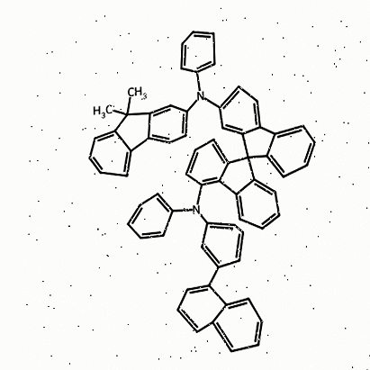 CC1(C)c2ccccc2-c2ccc(N(c3ccccc3)c3ccc4c(c3)C3(c5ccccc5-4)c4ccccc4-c4c(N(c5ccccc5)c5cccc(-c6cccc7ccccc67)c5)cccc43)cc21